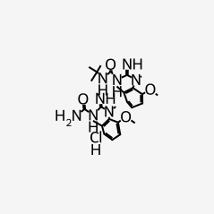 COc1cccc(C)c1N(C)C(=N)NC(=O)NC(C)(C)C.COc1cccc(C)c1N(C)C(=N)NC(N)=O.Cl